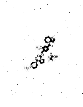 Cc1cc(C(=O)N2CCCCc3sccc32)ccc1COC(=O)N1CCC[C@H]1C(=O)N1CCCN(C)CC1.O=C(O)C(F)(F)F